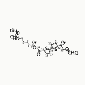 CC(C)(C)OC(=O)NCCCCC(=O)OCC(=O)c1ccc(-c2ccc(C(=O)COC=O)s2)s1